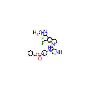 Cn1cc(-c2cc3c(cc2C(F)F)N(c2nn(C4CCN(C(=O)OCc5ccccc5)CC4)c4c2CNCC4)CCC3)cn1